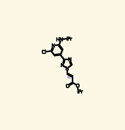 CC(C)Nc1cc(-c2ncn(/C=C/C(=O)OC(C)C)n2)cc(Cl)n1